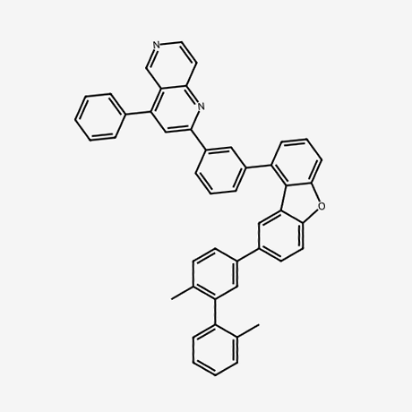 Cc1ccccc1-c1cc(-c2ccc3oc4cccc(-c5cccc(-c6cc(-c7ccccc7)c7cnccc7n6)c5)c4c3c2)ccc1C